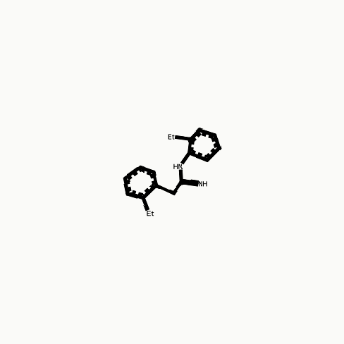 CCc1ccccc1CC(=N)Nc1ccccc1CC